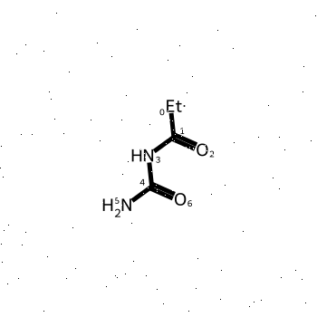 C[CH]C(=O)NC(N)=O